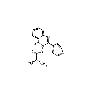 CC(C)C(=O)On1c(-c2ccccc2)nc2ccccc2c1=S